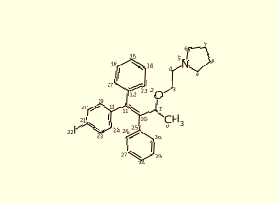 CC(OCCN1CCCC1)C(=C(c1ccccc1)c1ccc(I)cc1)c1ccccc1